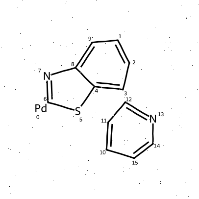 [Pd].c1ccc2scnc2c1.c1ccncc1